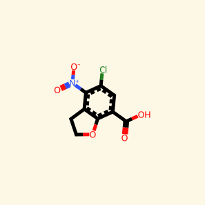 O=C(O)c1cc(Cl)c([N+](=O)[O-])c2c1OCC2